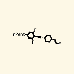 CCCCCc1cc(F)c(C#C[C@H]2CC[C@H](C=CF)CC2)c(F)c1